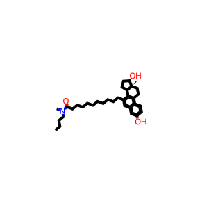 CCCCN(C)C(=O)CCCCCCCCCCc1cc2cc(O)ccc2c2c1C1CC[C@H](O)[C@@]1(C)CC2